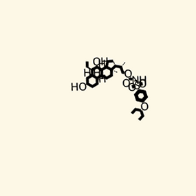 CCC(CC)Oc1ccc(S(=O)(=O)NC(=O)OC[C@@H](C)[C@H]2CC[C@H]3[C@@H]4[C@H](O)[C@H](CC)[C@@H]5C[C@H](O)CC[C@]5(C)[C@H]4CC[C@]23C)cc1